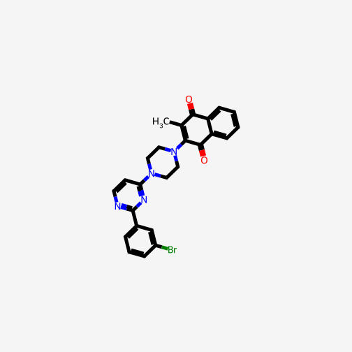 CC1=C(N2CCN(c3ccnc(-c4cccc(Br)c4)n3)CC2)C(=O)c2ccccc2C1=O